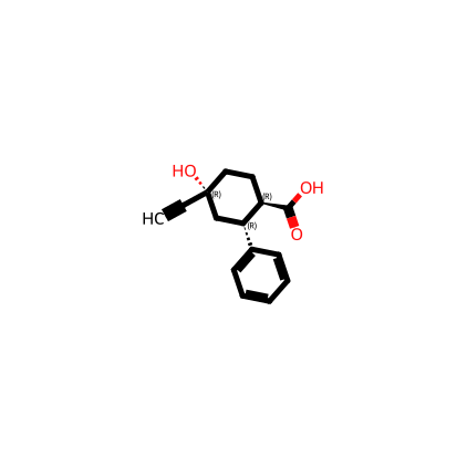 C#C[C@@]1(O)CC[C@@H](C(=O)O)[C@H](c2ccccc2)C1